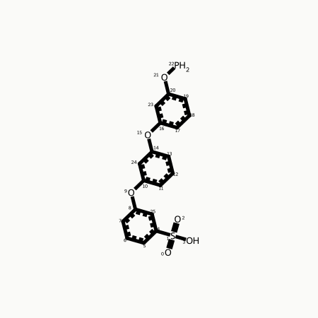 O=S(=O)(O)c1cccc(Oc2cccc(Oc3cccc(OP)c3)c2)c1